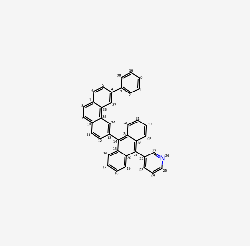 c1ccc(-c2ccc3ccc4ccc(-c5c6ccccc6c(-c6cccnc6)c6ccccc56)cc4c3c2)cc1